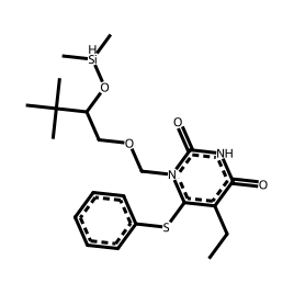 CCc1c(Sc2ccccc2)n(COCC(O[SiH](C)C)C(C)(C)C)c(=O)[nH]c1=O